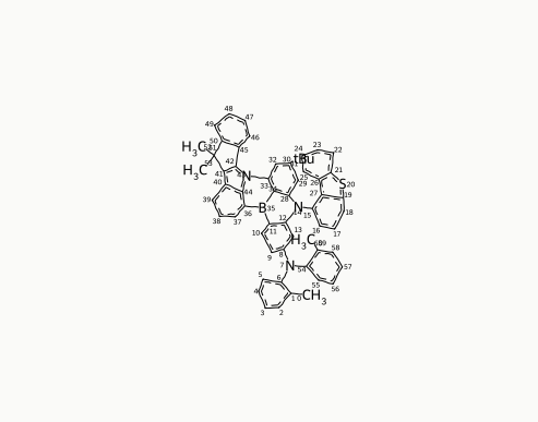 Cc1ccccc1N(c1ccc2c(c1)N(c1cccc3sc4ccccc4c13)c1cc(C(C)(C)C)cc3c1B2c1cccc2c4c(n-3c12)-c1ccccc1C4(C)C)c1ccccc1C